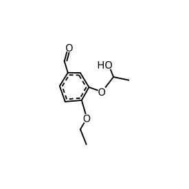 CCOc1ccc(C=O)cc1OC(C)O